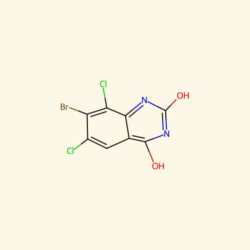 Oc1nc(O)c2cc(Cl)c(Br)c(Cl)c2n1